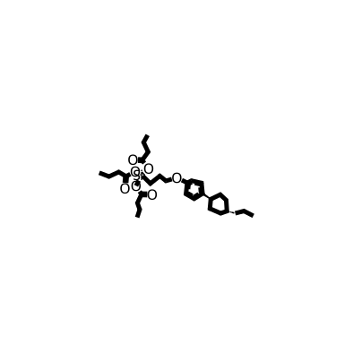 CCCC(=O)O[Si](CCCOc1ccc([C@H]2CC[C@H](CCC)CC2)cc1)(OC(=O)CCC)OC(=O)CCC